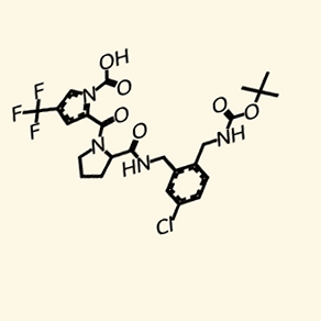 CC(C)(C)OC(=O)NCc1ccc(Cl)cc1CNC(=O)C1CCCN1C(=O)c1cc(C(F)(F)F)cn1C(=O)O